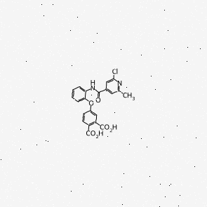 Cc1cc(C(=O)Nc2ccccc2Oc2ccc(C(=O)O)c(C(=O)O)c2)cc(Cl)n1